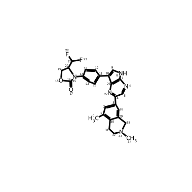 Cc1cc(-c2cnc3[nH]cc(-c4ccc(N5C(=O)OCC5C(F)F)cc4)c3n2)cc2c1CCN(C)C2